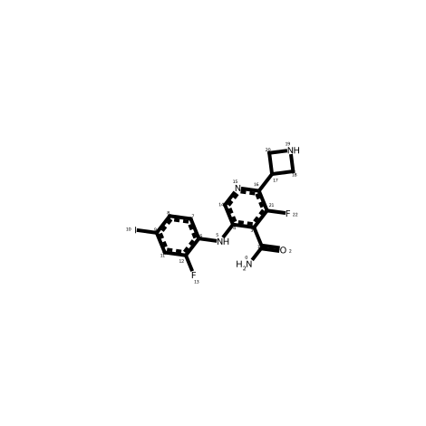 NC(=O)c1c(Nc2ccc(I)cc2F)cnc(C2CNC2)c1F